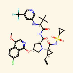 C=C[C@@H]1C[C@@]1(C(=O)NS(=O)(=O)C1CC1)N1C[C@H](Oc2ncc(OC)c3ccc(Cl)cc23)C[C@H]1C(=O)NC(=O)[C@@H](Nc1cncc(C(F)(F)F)c1)C(C)(C)C